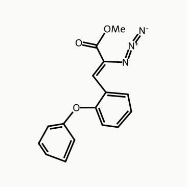 COC(=O)C(=Cc1ccccc1Oc1ccccc1)N=[N+]=[N-]